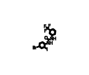 O=C(Nc1cccc(C(F)(F)F)c1)Nc1ccc(Br)cc1I